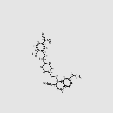 COc1ccc2ncc(C#N)c(CCN3CCC(NCc4cc([N+](=O)[O-])ccc4O)CC3)c2c1